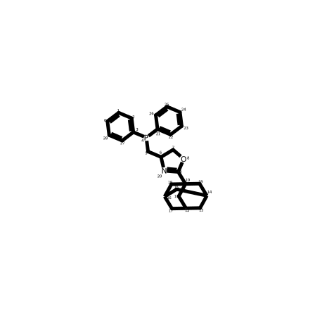 c1ccc(P(CC2COC(C34CC5CC(CC(C5)C3)C4)=N2)c2ccccc2)cc1